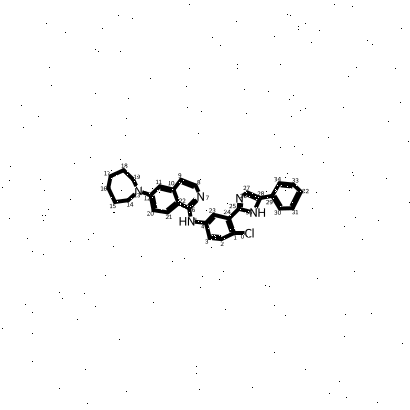 Clc1ccc(Nc2nccc3cc(N4CCCCCC4)ccc23)cc1-c1ncc(-c2ccccc2)[nH]1